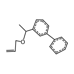 C=CCOC(C)c1cccc(-c2ccccc2)c1